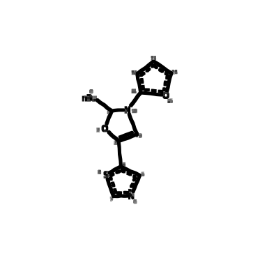 CCCCC1OC(c2cncs2)=[C]N1c1ccco1